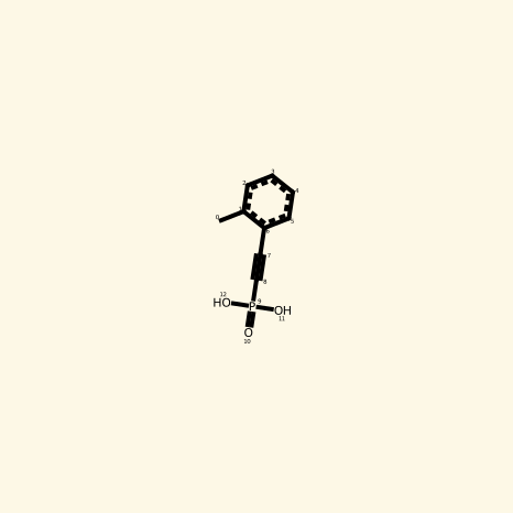 Cc1ccccc1C#CP(=O)(O)O